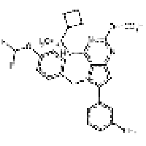 Cc1cccc(-c2cc3nc(OC(=O)O)nc(N[C@H](C)C4CCC4)c3n2Cc2ccc(OC(F)F)cc2)c1